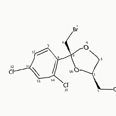 ClC[C@@H]1CO[C@@](CBr)(c2ccc(Cl)cc2Cl)O1